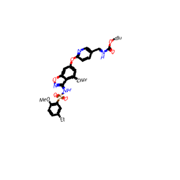 CCc1ccc(OC)c(S(=O)(=O)Nc2noc3cc(Oc4ccc(CNC(=O)OC(C)(C)C)cn4)cc(OC)c23)c1